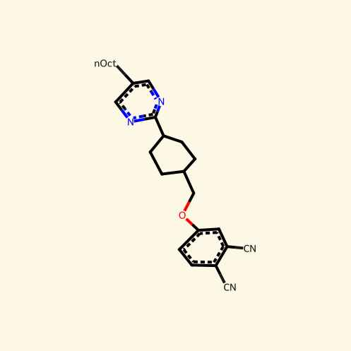 CCCCCCCCc1cnc(C2CCC(COc3ccc(C#N)c(C#N)c3)CC2)nc1